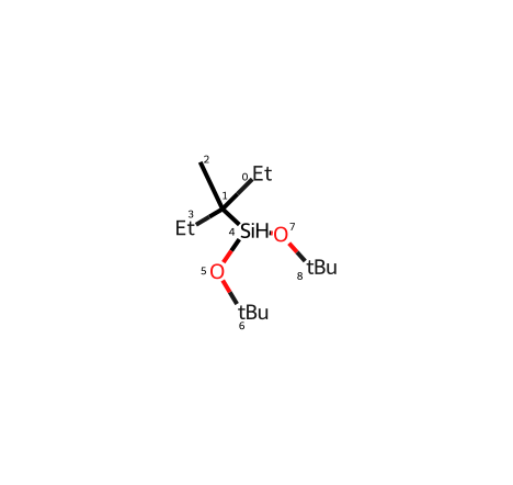 CCC(C)(CC)[SiH](OC(C)(C)C)OC(C)(C)C